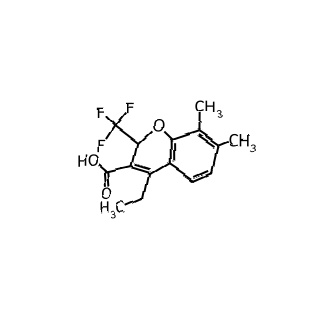 CCC1=C(C(=O)O)C(C(F)(F)F)Oc2c1ccc(C)c2C